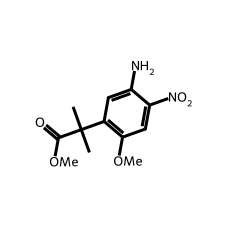 COC(=O)C(C)(C)c1cc(N)c([N+](=O)[O-])cc1OC